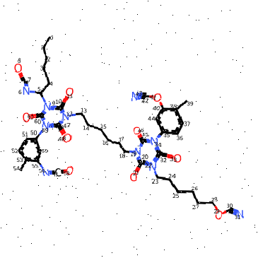 CCCCCC(N=C=O)n1c(=O)n(CCCCCCn2c(=O)n(CCCCCCOC#N)c(=O)n(-c3ccc(C)c(OC#N)c3)c2=O)c(=O)n(-c2ccc(C)c(N=C=O)c2)c1=O